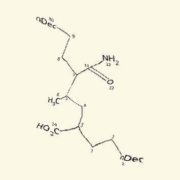 CCCCCCCCCCCCC(CC(C)C(CCCCCCCCCCCC)C(N)=O)C(=O)O